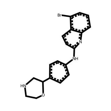 Brc1cccc2nc(Nc3ccc(C4CNCCO4)cc3)ccc12